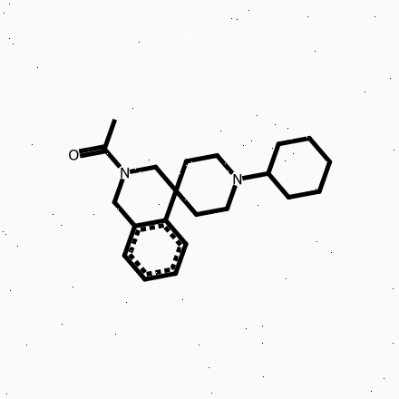 CC(=O)N1Cc2ccccc2C2(CCN(C3CCCCC3)CC2)C1